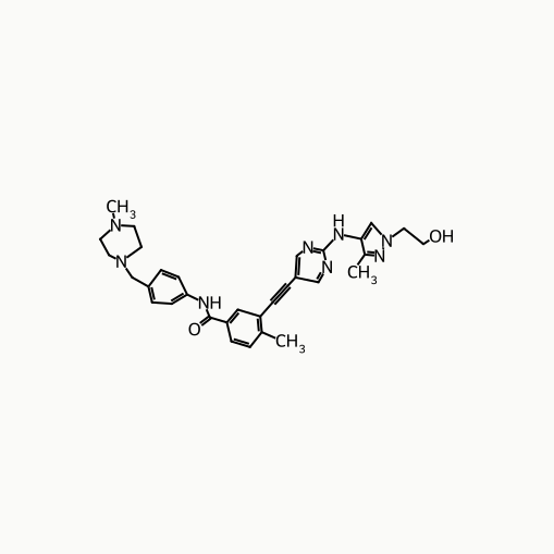 Cc1ccc(C(=O)Nc2ccc(CN3CCN(C)CC3)cc2)cc1C#Cc1cnc(Nc2cn(CCO)nc2C)nc1